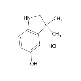 CC1(C)CNc2ccc(O)cc21.Cl